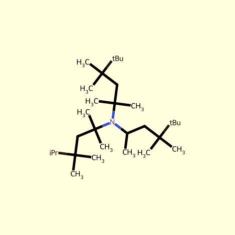 CC(CC(C)(C)C(C)(C)C)N(C(C)(C)CC(C)(C)C(C)C)C(C)(C)CC(C)(C)C(C)(C)C